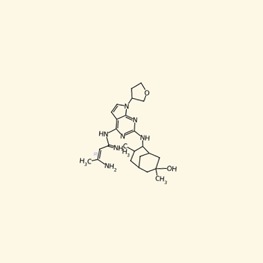 C/C(N)=C/C(=N)Nc1nc(NC2C(C)CC3CC2CC(C)(O)C3)nc2c1ccn2C1CCOC1